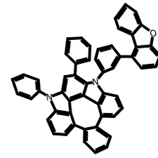 c1ccc(-c2cc3c4c5c(cccc5n3-c3ccccc3)c3ccccc3c3cccc5c3c4c2n5-c2cccc(-c3cccc4oc5ccccc5c34)c2)cc1